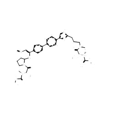 C=N/C=C(\NC1CCCN1C(=O)[C@H]([C@@H](C)CC)N(C)C(=O)OC(C)(C)C)c1ccc(-c2ccc(-c3cnc(CCCN(C)C(=O)[C@H]([C@@H](C)CC)N(C)C(=O)OC(C)(C)C)[nH]3)cc2)cc1